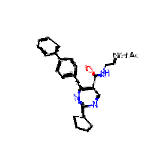 CC(=O)NCCNC(=O)c1cnc(C2CCCC2)nc1-c1ccc(-c2ccccc2)cc1